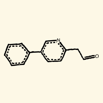 O=CCc1ccc(-c2ccccc2)cn1